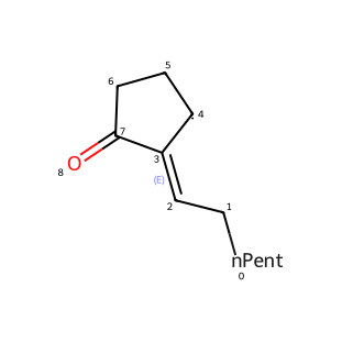 CCCCCC/C=C1\[CH]CCC1=O